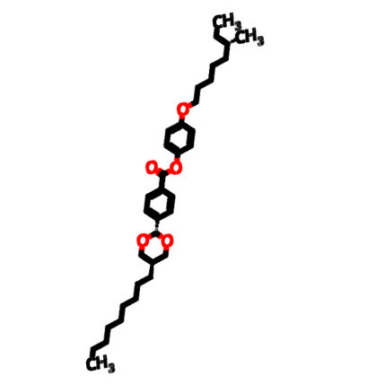 CCCCCCCCC[C@H]1CO[C@H](c2ccc(C(=O)Oc3ccc(OCCCCC[C@@H](C)CC)cc3)cc2)OC1